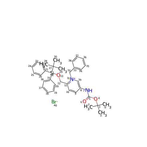 CC(C)(C)OC(=O)Nc1ccc(CO[Si](c2ccccc2)(c2ccccc2)C(C)(C)C)[n+](Cc2ccccc2)c1.[Br-]